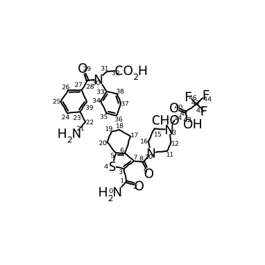 NC(=O)c1sc2c(c1C(=O)N1CCN(C=O)CC1)CCCC2.NCc1cccc(C(=O)N(CC(=O)O)c2ccccc2)c1.O=C(O)C(F)(F)F